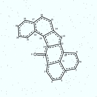 O=c1c2cccc3cccc(c32)c2nc3ccc4ccccc4c3n12